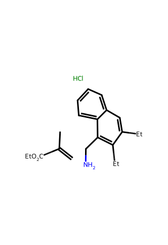 C=C(C)C(=O)OCC.CCc1cc2ccccc2c(CN)c1CC.Cl